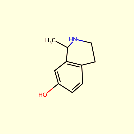 CC1NCCc2ccc(O)cc21